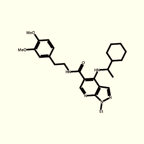 CCn1ncc2c(NC(C)C3CCCCC3)c(C(=O)NCCc3ccc(OC)c(OC)c3)cnc21